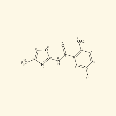 CC(=O)Oc1ccc(C)cc1C(=O)Nc1nc(C(F)(F)F)co1